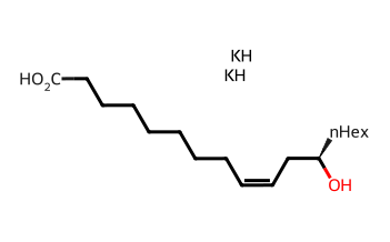 CCCCCC[C@@H](O)C/C=C\CCCCCCCC(=O)O.[KH].[KH]